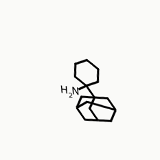 NC1(C23CC4CC(CC(C4)C2)C3)CCCCC1